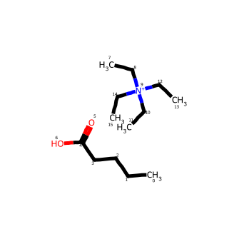 CCCCC(=O)O.CC[N+](CC)(CC)CC